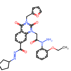 CCOc1ccccc1N(N)C(=O)Cn1c(=O)n(Cc2ccco2)c(=O)c2ccc(C(=O)N=NC3CCCC3)cc21